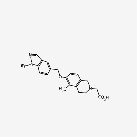 Cc1c(OCc2ccc3c(cnn3C(C)C)c2)ccc2c1CCN(CC(=O)O)C2